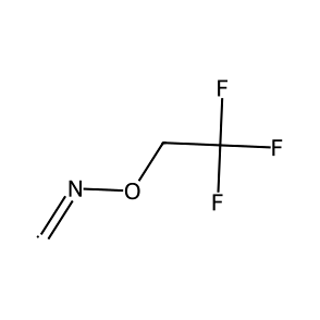 [CH]=NOCC(F)(F)F